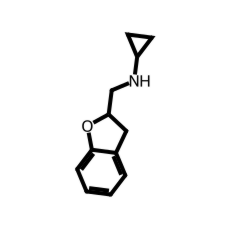 c1ccc2c(c1)CC(CNC1CC1)O2